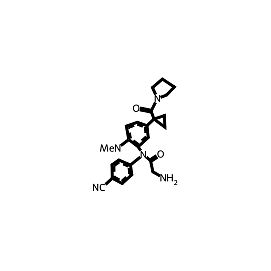 CNc1ccc(C2(C(=O)N3CCCC3)CC2)cc1N(C(=O)CN)c1ccc(C#N)cc1